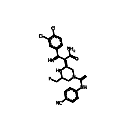 C=C(Nc1ccc(C#N)cc1)N1C/C(=C(/C(=N)c2ccc(Cl)c(Cl)c2)C(N)=O)NC(CF)C1